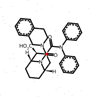 O=C(O)[C@@H]1[C@H]2CCC[C@@H](CN1C(=O)N(c1ccccc1)c1ccccc1)N2C(=O)N1CCc2ccccc2C1